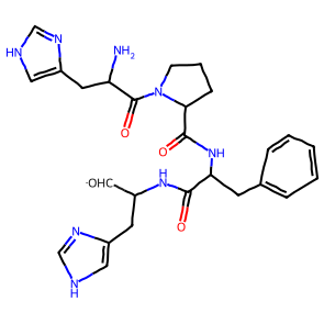 NC(Cc1c[nH]cn1)C(=O)N1CCCC1C(=O)NC(Cc1ccccc1)C(=O)NC([C]=O)Cc1c[nH]cn1